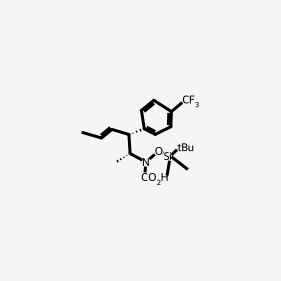 C/C=C/[C@H](c1ccc(C(F)(F)F)cc1)[C@@H](C)N(O[Si](C)(C)C(C)(C)C)C(=O)O